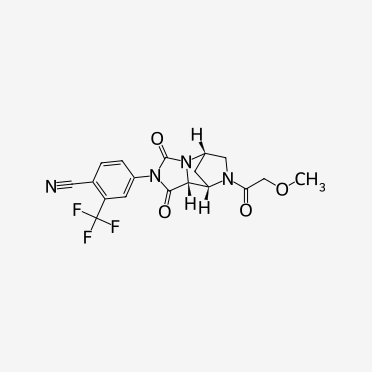 COCC(=O)N1C[C@@H]2C[C@H]1[C@@H]1C(=O)N(c3ccc(C#N)c(C(F)(F)F)c3)C(=O)N21